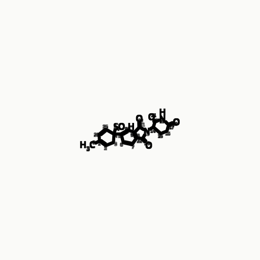 CC1=CCC(c2ccc3c(c2)C(=O)N(C2CCC(=O)NC2=O)C3=O)(S(=O)(=O)O)C=C1